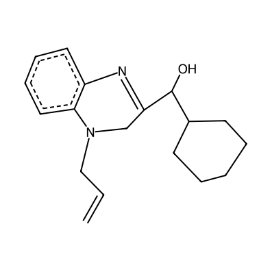 C=CCN1CC(C(O)C2CCCCC2)=Nc2ccccc21